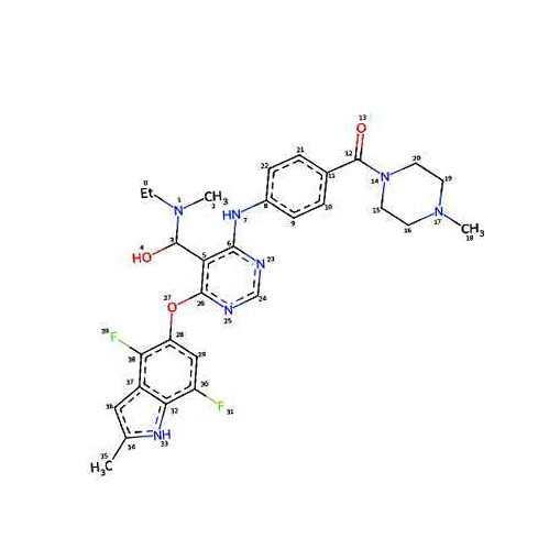 CCN(C)C(O)c1c(Nc2ccc(C(=O)N3CCN(C)CC3)cc2)ncnc1Oc1cc(F)c2[nH]c(C)cc2c1F